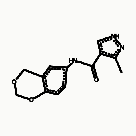 Cc1n[nH]cc1C(=O)Nc1ccc2c(c1)COCO2